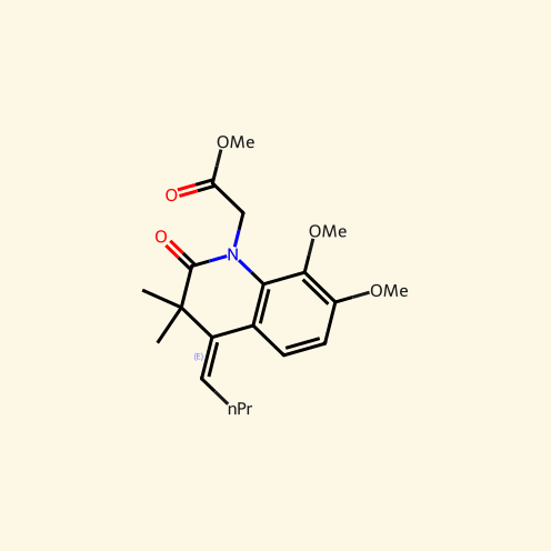 CCC/C=C1\c2ccc(OC)c(OC)c2N(CC(=O)OC)C(=O)C1(C)C